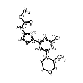 C[C@H]1COCCN1c1nc(Cl)nc(-c2cnc(NC(=O)OC(C)(C)C)s2)n1